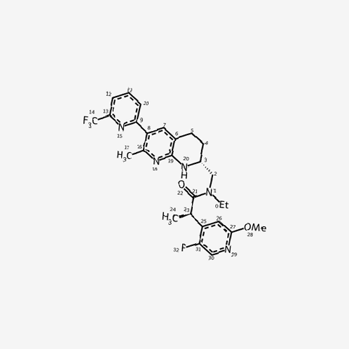 CCN(C[C@H]1CCc2cc(-c3cccc(C(F)(F)F)n3)c(C)nc2N1)C(=O)[C@H](C)c1cc(OC)ncc1F